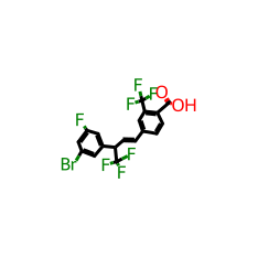 O=C(O)c1ccc(C=CC(c2cc(F)cc(Br)c2)C(F)(F)F)cc1C(F)(F)F